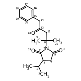 CC(C)C1CC(=O)N(C(C)(C)CC(=O)Cc2ccccc2)C1=O